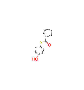 O=C(Sc1ccc(O)cc1)c1ccccc1